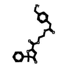 CC(C)Cc1ccc(CC(=O)SCCOC(=O)C2=CC(=O)C(C)(c3ccccc3)O2)cc1